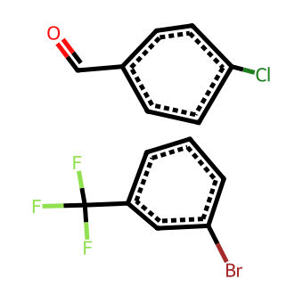 FC(F)(F)c1cccc(Br)c1.O=Cc1ccc(Cl)cc1